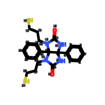 O=C1NC2(c3ccccc3)NC(=O)N(CCCS)C2(c2ccccc2)N1CCCS